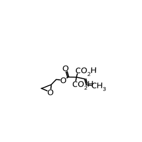 CC=CC(C(=O)O)(C(=O)O)C(=O)OCC1CO1